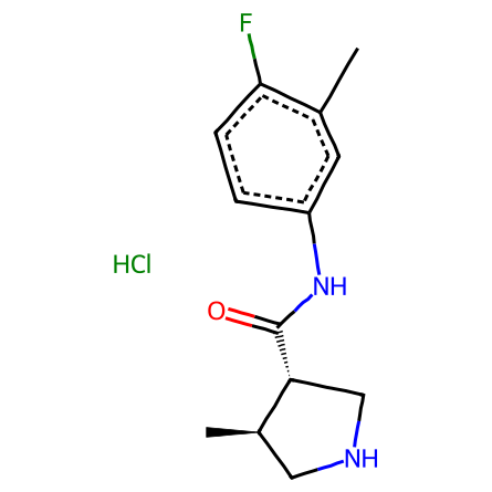 Cc1cc(NC(=O)[C@@H]2CNC[C@H]2C)ccc1F.Cl